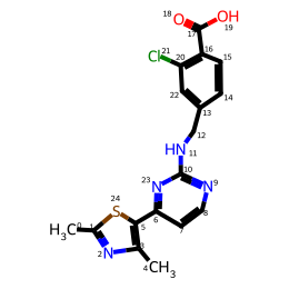 Cc1nc(C)c(-c2ccnc(NCc3ccc(C(=O)O)c(Cl)c3)n2)s1